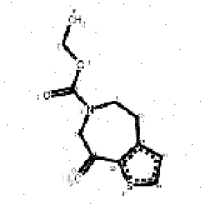 C=C1CN(C(=O)OCC)CCc2ccsc21